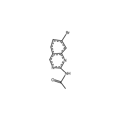 CC(=O)Nc1ncc2ccc(Br)cc2n1